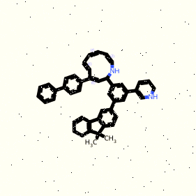 CC1(C)C2=C(C=CCC2)c2cc(-c3cc(C4=CNCC=C4)cc(C4\C=C(c5ccc(-c6ccccc6)cc5)/C=C/C=C\C=C/N4)c3)ccc21